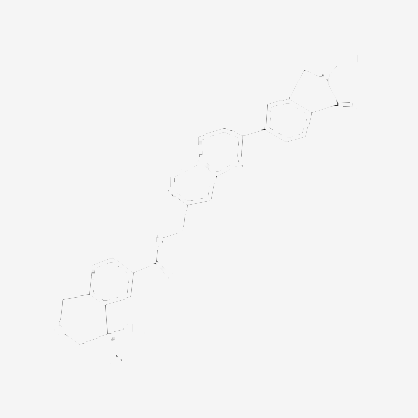 CN1Cc2cc(-c3ccc4cnc(CNC(=O)c5ccc6c(c5)[C@](C)(C#N)COC6)cc4n3)ccc2C1=O